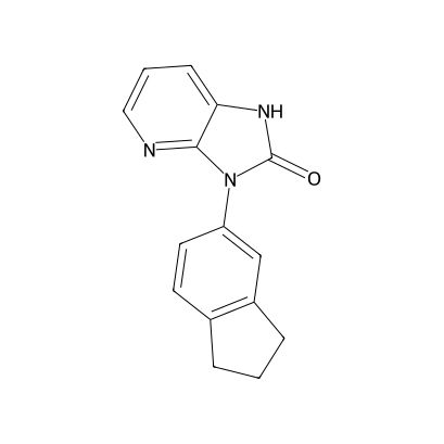 O=c1[nH]c2cccnc2n1-c1ccc2c(c1)CCC2